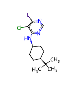 CC(C)(C)[C@H]1CC[C@@H](Nc2ncnc(I)c2Cl)CC1